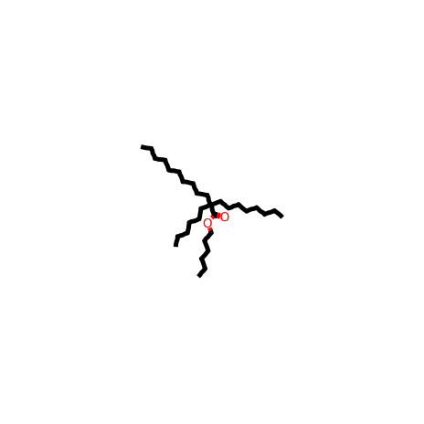 CCCCCCCCCCC(CCCCCC)(CCCCCCCC)C(=O)OCCCCCC